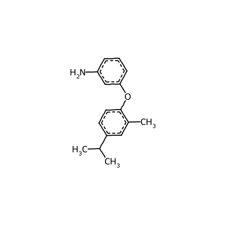 Cc1cc(C(C)C)ccc1Oc1cccc(N)c1